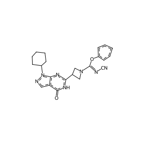 N#CN=C(Oc1ccccc1)N1CC(c2nc3c(cnn3C3CCCCC3)c(=O)[nH]2)C1